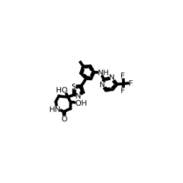 Cc1cc(Nc2nccc(C(F)(F)F)n2)cc(-c2cnc(C3(O)CCNC(=O)CC3O)s2)c1